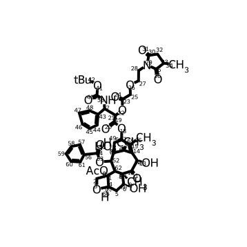 CC(=O)O[C@@]12CO[C@@H]1C[C@H](O)[C@@]1(C)C(=O)[C@H](O)C3=C(C)C(OC(=O)C(OC(=O)COCCN4C(=O)CC(C)C4=O)C(NC(=O)OC(C)(C)C)c4ccccc4)C[C@@](O)(C(OC(=O)c4ccccc4)C12)C3(C)C